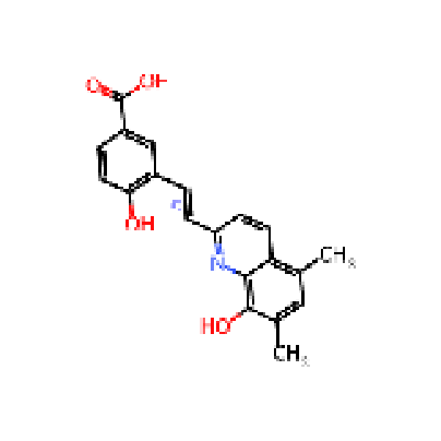 Cc1cc(C)c2ccc(/C=C/c3cc(C(=O)O)ccc3O)nc2c1O